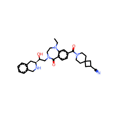 CCN1CCN(CC(O)[C@@H]2Cc3ccccc3CN2)C(=O)c2ccc(C(=O)N3CCC4(CC3)CC(C#N)C4)cc21